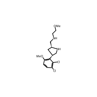 COCCNC[C@@H]1C[C@H](c2c(OC)ccc(Cl)c2Cl)CN1